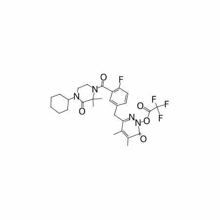 Cc1c(Cc2ccc(F)c(C(=O)N3CCN(C4CCCCC4)C(=O)C3(C)C)c2)nn(OC(=O)C(F)(F)F)c(=O)c1C